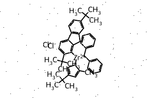 CC1=CC(C(C)(C)C)=C[CH]1[Zr+2](=[C](c1ccccc1)c1ccccc1)[c]1c(C(C)(C)C)ccc2c1Cc1cc(C(C)(C)C)ccc1-2.[Cl-].[Cl-]